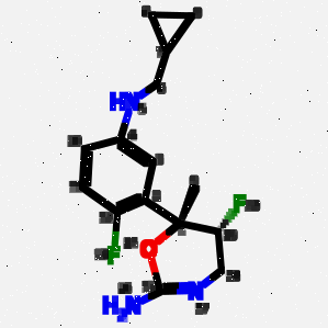 C[C@]1(c2cc(NCC3CC3)ccc2F)OC(N)=NC[C@H]1F